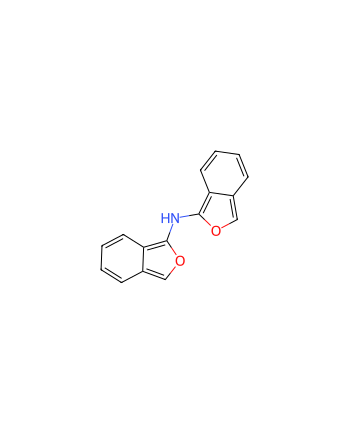 c1ccc2c(Nc3occ4ccccc34)occ2c1